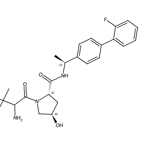 C[C@H](NC(=O)[C@@H]1C[C@@H](O)CN1C(=O)C(N)C(C)(C)C)c1ccc(-c2ccccc2F)cc1